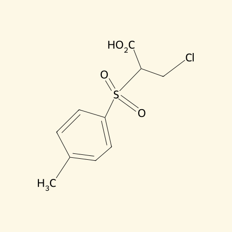 Cc1ccc(S(=O)(=O)C(CCl)C(=O)O)cc1